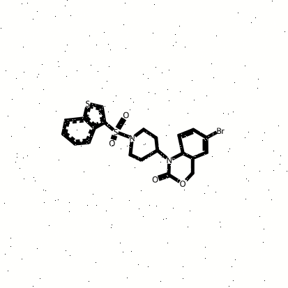 O=C1OCC2C=C(Br)C=CC2N1C1CCN(S(=O)(=O)c2csc3ccccc23)CC1